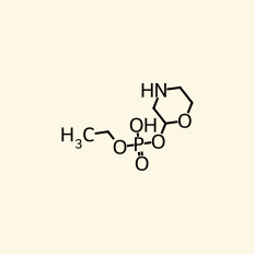 CCOP(=O)(O)OC1CNCCO1